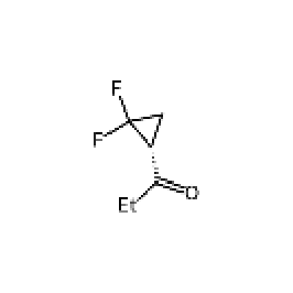 CCC(=O)[C@H]1CC1(F)F